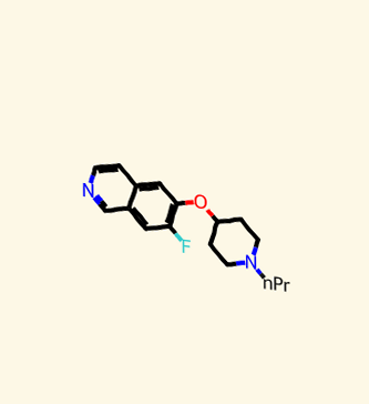 CCCN1CCC(Oc2cc3ccncc3cc2F)CC1